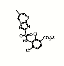 CCOC(=O)c1ccc(Cl)c(NS(=O)(=O)c2nc3ncc(C)cn3n2)c1Cl